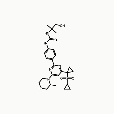 C[C@H]1COCCN1c1cc(C2(S(=O)(=O)C3CC3)CC2)nc(-c2ccc(NC(=O)NC(C)(C)CO)cc2)n1